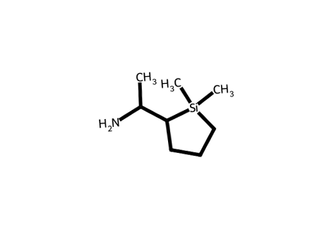 CC(N)C1CCC[Si]1(C)C